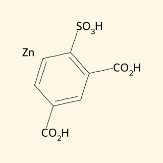 O=C(O)c1ccc(S(=O)(=O)O)c(C(=O)O)c1.[Zn]